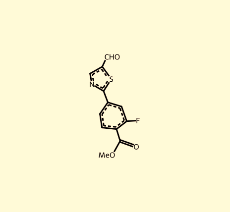 COC(=O)c1ccc(-c2ncc(C=O)s2)cc1F